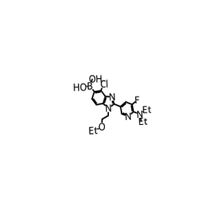 CCOCCn1c(-c2cnc(N(CC)CC)c(F)c2)nc2c(Cl)c(B(O)O)ccc21